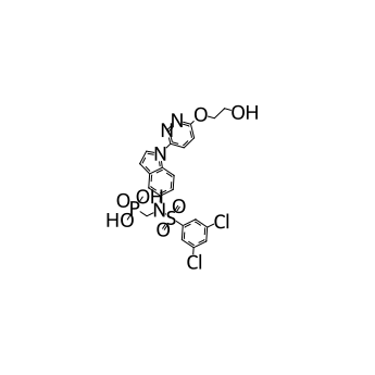 O=P(O)(O)CN(c1ccc2c(ccn2-c2ccc(OCCO)nn2)c1)S(=O)(=O)c1cc(Cl)cc(Cl)c1